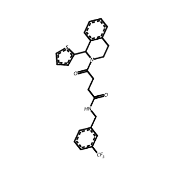 O=C(CCC(=O)N1CCc2ccccc2C1c1cccs1)NCc1cccc(C(F)(F)F)c1